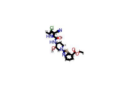 CCOC(=O)c1cccc2nc(N3CCC(NC(=O)c4[nH]c(C)c(Cl)c4C#N)C(OC)C3)sc12